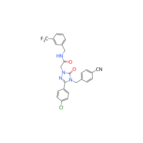 N#Cc1ccc(Cn2c(-c3ccc(Cl)cc3)nn(CC(=O)NCc3cccc(C(F)(F)F)c3)c2=O)cc1